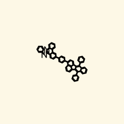 c1ccc(-c2c3c(c(-c4ccccc4)c4ccccc24)-c2ccc(-c4ccc(-c5ccc6c(c5)c5ccccc5n5c7ccccc7nc65)cc4)c4cccc-3c24)cc1